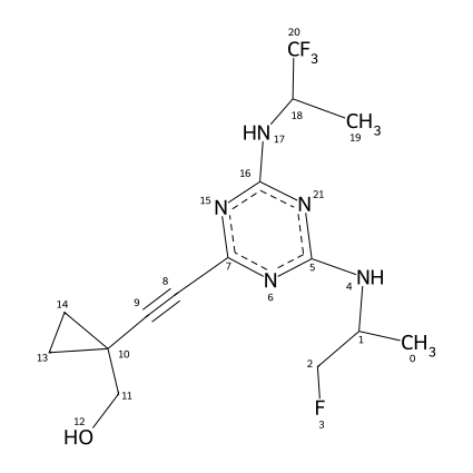 CC(CF)Nc1nc(C#CC2(CO)CC2)nc(NC(C)C(F)(F)F)n1